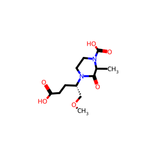 COC[C@H](CCC(=O)O)N1CCN(C(=O)O)C(C)C1=O